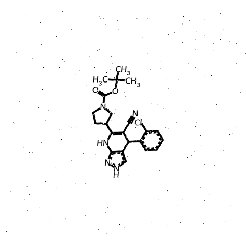 CC(C)(C)OC(=O)N1CCC(C2=C(C#N)C(c3ccccc3Cl)c3c[nH]nc3N2)C1